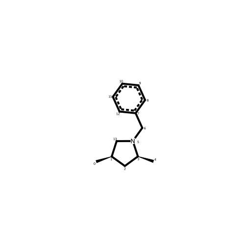 C[C@@H]1C[C@H](C)N(Cc2ccccc2)C1